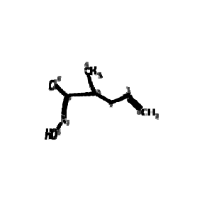 C=CCC(C)/C(Cl)=N/O